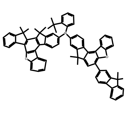 CC(C)(C)c1ccccc1N(c1ccc2c(c1)C(C)(C)c1cc(-c3ccc4c(c3)C(C)(C)c3ccccc3-4)c3oc4ccccc4c3c1-2)c1ccc2c(c1)C(C)(C)c1c3c(c4oc5ccccc5c4c1-2)-c1ccccc1C3(C)C